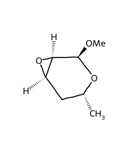 CO[C@H]1O[C@H](C)C[C@H]2O[C@@H]12